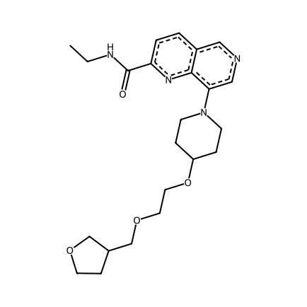 CCNC(=O)c1ccc2cncc(N3CCC(OCCOCC4CCOC4)CC3)c2n1